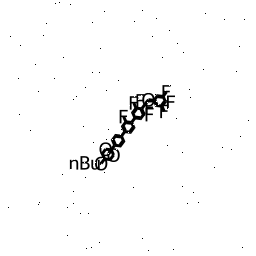 CCCCOC1COC(c2ccc(-c3ccc(-c4cc(F)c(C(F)(F)Oc5cc(F)c(F)c(F)c5)c(F)c4)c(F)c3)cc2)OC1